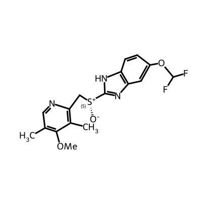 COc1c(C)cnc(C[S@@+]([O-])c2nc3cc(OC(F)F)ccc3[nH]2)c1C